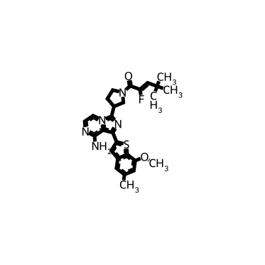 COc1cc(C)cc2cc(-c3nc(C4CCN(C(=O)C(F)=CC(C)(C)C)C4)n4ccnc(N)c34)sc12